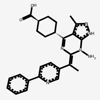 C/C(=C1/N=C([C@H]2CC[C@H](C(=O)O)CC2)c2c(C)n[nH]c2N1N)c1ccc(-c2ccccc2)nc1